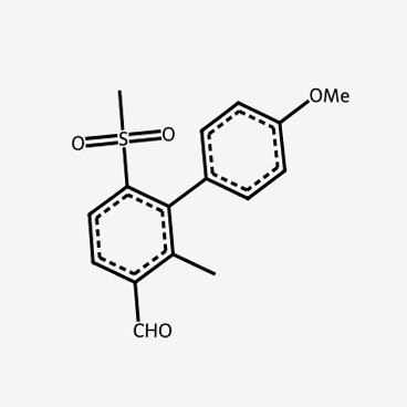 COc1ccc(-c2c(S(C)(=O)=O)ccc(C=O)c2C)cc1